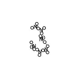 c1ccc(-c2nc3c(ccc4cc(N(c5ccccc5)c5ccc6c(c5)c5ccccc5n6-c5cccc(-c6ccc(-c7nc8ccc9cc(N(c%10ccccc%10)c%10ccc%11c(c%10)c%10ccccc%10n%11-c%10ccccc%10)ccc9c8o7)cc6)c5)ccc43)o2)cc1